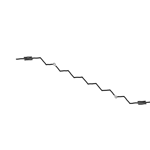 CC#CCCOCCCCCCCCOCCC#CC